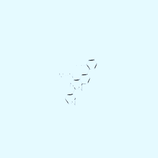 CNc1nc(-c2cccnc2)nc2ccc(-c3ccc(Cl)cc3Cl)cc12